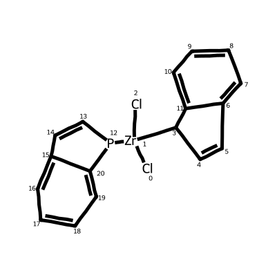 [Cl][Zr]([Cl])([CH]1C=Cc2ccccc21)[p]1ccc2ccccc21